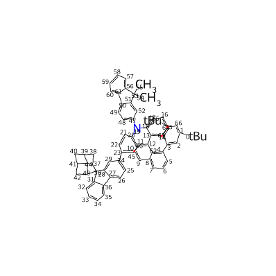 CC(C)(C)c1cc(-c2cccc3cccc(-c4ccccc4N(c4ccc(-c5ccc6c(c5)C5(c7ccccc7-6)C6CC7CC8CC5C786)cc4)c4ccc5c(c4)C(C)(C)c4ccccc4-5)c23)cc(C(C)(C)C)c1